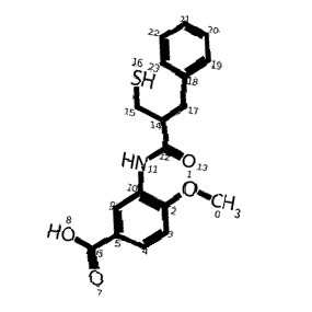 COc1ccc(C(=O)O)cc1NC(=O)C(CS)Cc1ccccc1